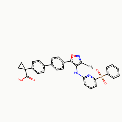 Cc1noc(-c2ccc(-c3ccc(C4(C(=O)O)CC4)cc3)cc2)c1Nc1cccc(S(=O)(=O)c2ccccc2)n1